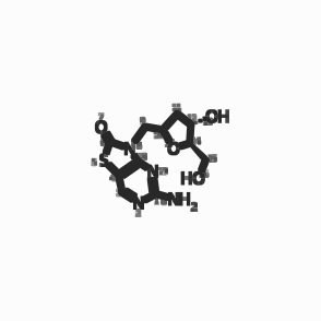 Nc1ncc2sc(=O)n(CC3C[C@H](O)[C@@H](CO)O3)c2n1